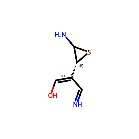 N=C/C(=C\O)[C@H]1SC1N